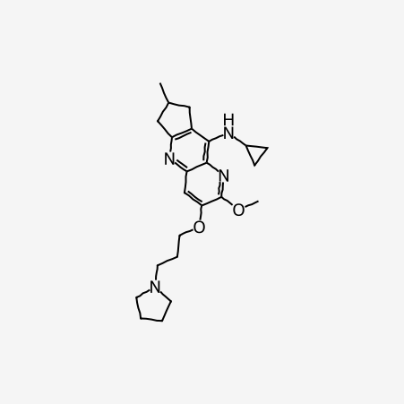 COc1nc2c(NC3CC3)c3c(nc2cc1OCCCN1CCCC1)CC(C)C3